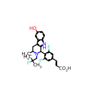 CC1Cc2c([nH]c3ccc(O)cc23)C(c2c(F)cc(/C=C/C(=O)O)cc2F)N1CC(C)(C)F